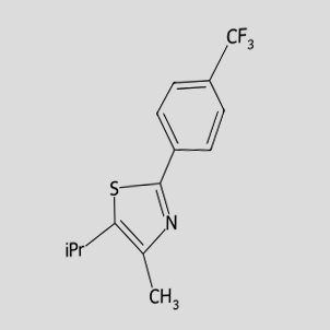 Cc1nc(-c2ccc(C(F)(F)F)cc2)sc1C(C)C